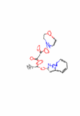 CCCC(OC(=O)C(=O)ON1CCOCC1)Oc1cc2ccccn2n1